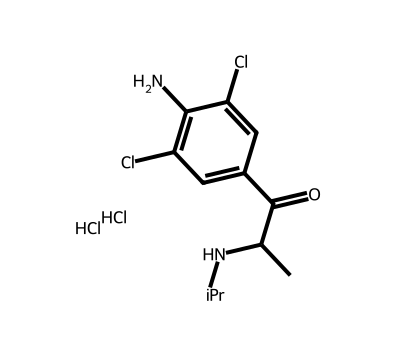 CC(C)NC(C)C(=O)c1cc(Cl)c(N)c(Cl)c1.Cl.Cl